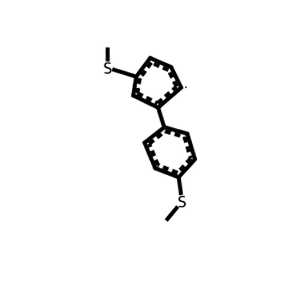 CSc1ccc(-c2[c]ccc(SC)c2)cc1